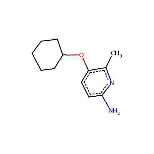 Cc1nc(N)ccc1OC1CCCCC1